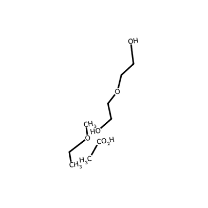 CC(=O)O.CCOC.OCCOCCO